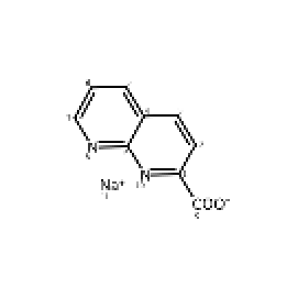 O=C([O-])c1ccc2cccnc2n1.[Na+]